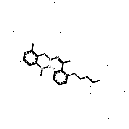 CCCCCc1ccccc1/C(C)=N\OCc1c(C)cccc1N(C)N